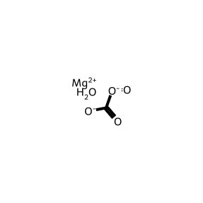 O.O=C([O-])[O-].[Mg+2].[O]